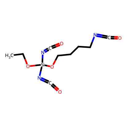 CCO[Si](N=C=O)(N=C=O)OCCCCN=C=O